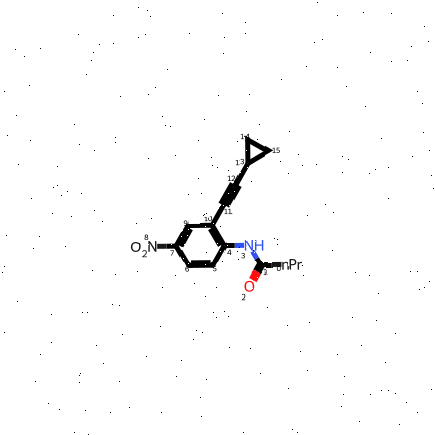 CCCC(=O)Nc1ccc([N+](=O)[O-])cc1C#CC1CC1